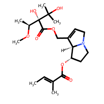 CC=C(C)C(=O)O[C@H]1CCN2CC=C(COC(=O)[C@@](O)([C@H](C)OC)C(C)(C)O)[C@H]12